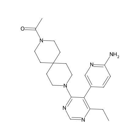 CCc1ncnc(N2CCC3(CCN(C(C)=O)CC3)CC2)c1-c1ccc(N)nc1